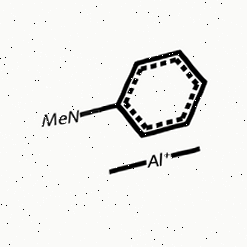 C[N-]c1ccccc1.[CH3][Al+][CH3]